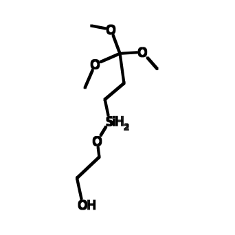 COC(CC[SiH2]OCCO)(OC)OC